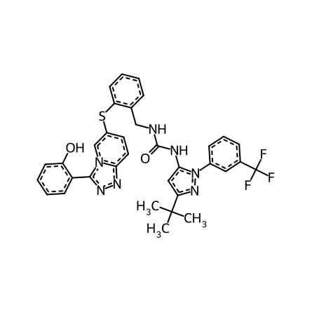 CC(C)(C)c1cc(NC(=O)NCc2ccccc2Sc2ccc3nnc(-c4ccccc4O)n3c2)n(-c2cccc(C(F)(F)F)c2)n1